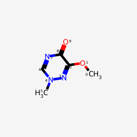 COc1nn(C)[c]nc1=O